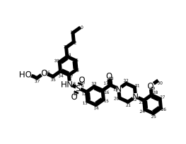 CCCCc1ccc(NS(=O)(=O)c2cccc(C(=O)N3CCN(c4ccccc4OC)CC3)c2)c(COCO)c1